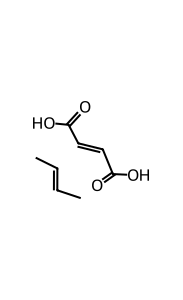 CC=CC.O=C(O)C=CC(=O)O